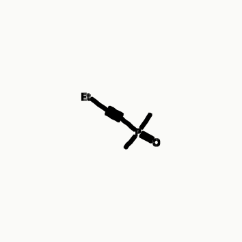 CCC#CP(C)(C)=O